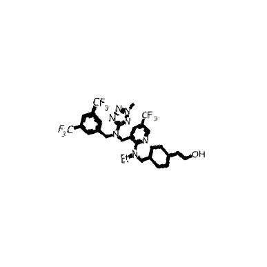 CCN(CC1CCC(CCO)CC1)c1ncc(C(F)(F)F)cc1CN(Cc1cc(C(F)(F)F)cc(C(F)(F)F)c1)c1nnn(C)n1